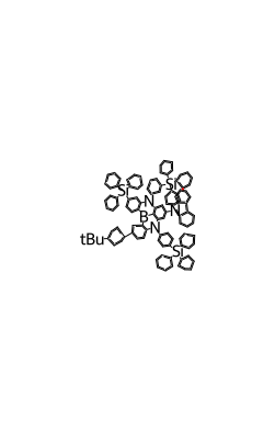 CC(C)(C)c1ccc(-c2ccc3c(c2)B2c4ccc([Si](c5ccccc5)(c5ccccc5)c5ccccc5)cc4N(c4cccc([Si](c5ccccc5)(c5ccccc5)c5ccccc5)c4)c4cc(-n5c6ccccc6c6ccccc65)cc(c42)N3c2ccc([Si](c3ccccc3)(c3ccccc3)c3ccccc3)cc2)cc1